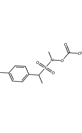 Cc1ccc(C(C)S(=O)(=O)N(C)OC(=O)C(F)(F)F)cc1